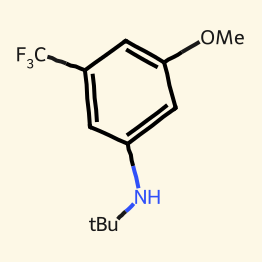 COc1cc(NC(C)(C)C)cc(C(F)(F)F)c1